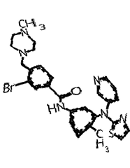 Cc1ccc(NC(=O)c2ccc(CN3CCN(C)CC3)c(Br)c2)cc1N(c1cccnc1)c1nccs1